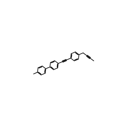 CC#CCc1ccc(C#Cc2ccc(-c3ccc(C)cc3)cc2)cc1